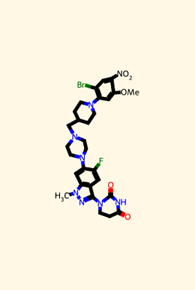 COc1cc(N2CCC(CN3CCN(c4cc5c(cc4F)c(N4CCC(=O)NC4=O)nn5C)CC3)CC2)c(Br)cc1[N+](=O)[O-]